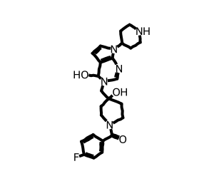 O=C(c1ccc(F)cc1)N1CCC(O)(CN2C=Nc3c(ccn3C3CCNCC3)C2O)CC1